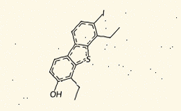 CCc1c(O)ccc2c1sc1c(CC)c(I)ccc12